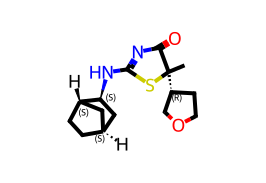 CC1([C@@H]2CCOC2)SC(N[C@H]2C[C@H]3CC[C@H]2C3)=NC1=O